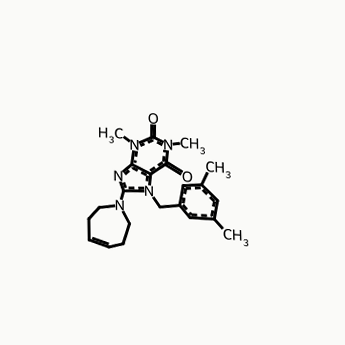 Cc1cc(C)cc(Cn2c(N3CCC=CCC3)nc3c2c(=O)n(C)c(=O)n3C)c1